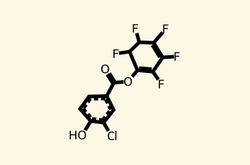 O=C(OC1=C(F)C(F)=C(F)C(F)C1F)c1ccc(O)c(Cl)c1